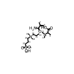 C=C(C)C(N)=O.CC(C(=O)O)N(C)C.CCC[N+](C)(C)CCCS(=O)(=O)O